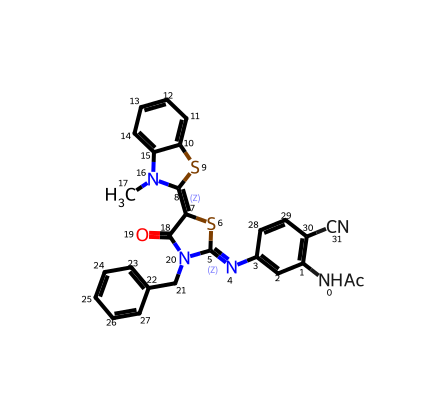 CC(=O)Nc1cc(/N=C2\S/C(=C3\Sc4ccccc4N3C)C(=O)N2Cc2ccccc2)ccc1C#N